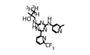 [2H]C([2H])([2H])C(C)(O)CNc1nc(Nc2ccnc(C)c2)nc(-c2cccc(C(F)(F)F)n2)n1